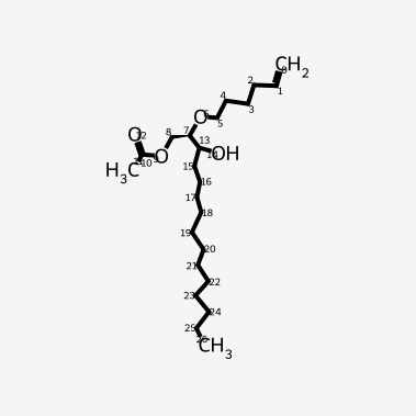 C=CCCCCO[C@H](COC(C)=O)C(O)CCCCCCCCCCCC